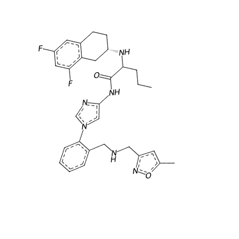 CCCC(N[C@H]1CCc2cc(F)cc(F)c2C1)C(=O)Nc1cn(-c2ccccc2CNCc2cc(C)on2)cn1